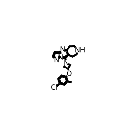 Cc1cc(Cl)ccc1OC1CN(c2c3c(nc4ccnn24)CCNCC3)C1